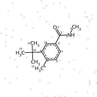 CNC(=O)c1ccc(C)c(C(C)(C)C)c1